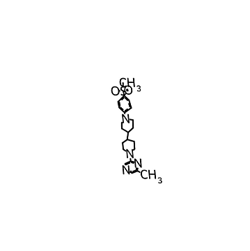 Cc1cncc(N2CCC(C3CCN(c4ccc(S(C)(=O)=O)cc4)CC3)CC2)n1